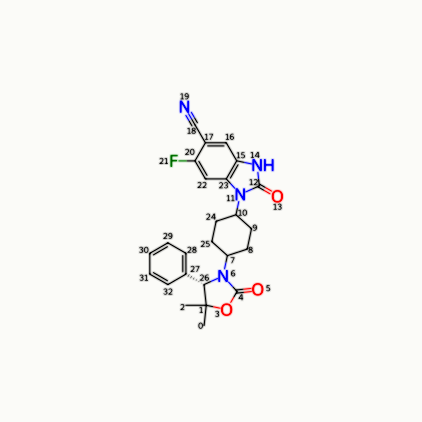 CC1(C)OC(=O)N(C2CCC(n3c(=O)[nH]c4cc(C#N)c(F)cc43)CC2)[C@H]1c1ccccc1